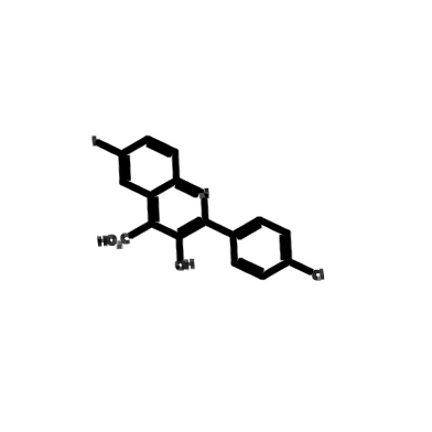 O=C(O)c1c(O)c(-c2ccc(Cl)cc2)nc2ccc(I)cc12